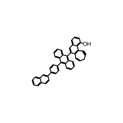 Oc1cccc2cc(-c3c4ccccc4c(-c4ccc(-c5ccc6ccccc6c5)cc4)c4ccccc34)c3c(c12)C#CCC=C3